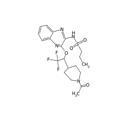 CCCS(=O)(=O)Nc1nc2ccccc2nc1OC(C1CCN(C(C)=O)CC1)C(F)(F)F